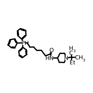 CCC(C)(C)N1CCC(NC(=O)CCCCCC[PH](c2ccccc2)(c2ccccc2)c2ccccc2)CC1